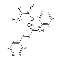 C[C@H](N)C(=O)Oc1ccccc1NC(=O)CCc1ccccc1